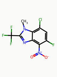 Cn1c(C(F)(F)F)nc2c([N+](=O)[O-])c(F)cc(Cl)c21